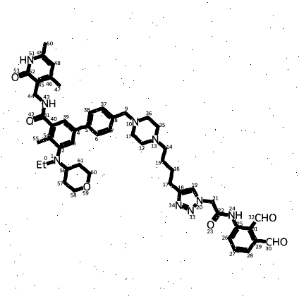 CCN(c1cc(-c2ccc(CN3CCN(CCCCc4cn(CC(=O)Nc5cccc(C=O)c5C=O)nn4)CC3)cc2)cc(C(=O)NCc2c(C)cc(C)[nH]c2=O)c1C)C1CCOCC1